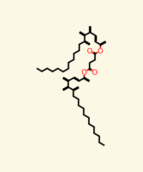 C=C(/C=C/C(=C)C(=C)C(=C)CCCCCCCCCCCC)OC(=O)CCC(=O)OC(=C)/C=C/C(=C)C(=C)C(=C)CCCCCCCCCCCC